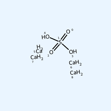 O=S(=O)(O)O.[CaH2].[CaH2].[CaH2].[CaH2]